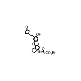 CCOC(=O)CC(=O)Nc1cc(C)c(Oc2ccc(O)c(CCC3CCC(=O)C3)c2)c2c1CCC2